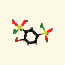 O=S(=O)(Cl)c1ccc(Br)c(S(=O)(=O)Cl)c1